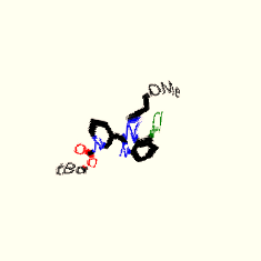 COCCCn1c(C2CCCN(C(=O)OC(C)(C)C)C2)nc2cccc(Cl)c21